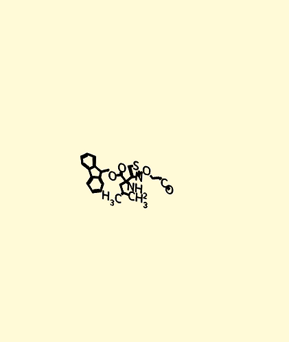 CC(C)CC(N)(C(=O)OCC1c2ccccc2-c2ccccc21)c1csc(OCC=C=O)n1